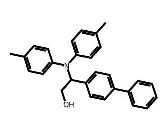 Cc1ccc(N(c2ccc(C)cc2)C(CO)c2ccc(-c3ccccc3)cc2)cc1